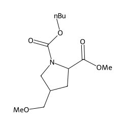 CCCCOC(=O)N1CC(COC)CC1C(=O)OC